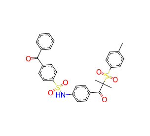 Cc1ccc(S(=O)(=O)C(C)(C)C(=O)c2ccc(NS(=O)(=O)c3ccc(C(=O)c4ccccc4)cc3)cc2)cc1